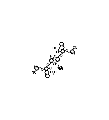 Cc1c(COc2cc(OCc3cncc(C#N)c3)c(CN3CCCC[C@H]3C(=O)O)cc2Cl)cccc1-c1cccc(COc2cc(OCc3cncc(C#N)c3)c(CN3CCCC[C@H]3C(=O)O)cc2Cl)c1C.Cl.Cl